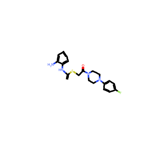 C=C(Nc1ccccc1N)SCC(=O)N1CCN(c2ccc(F)cc2)CC1